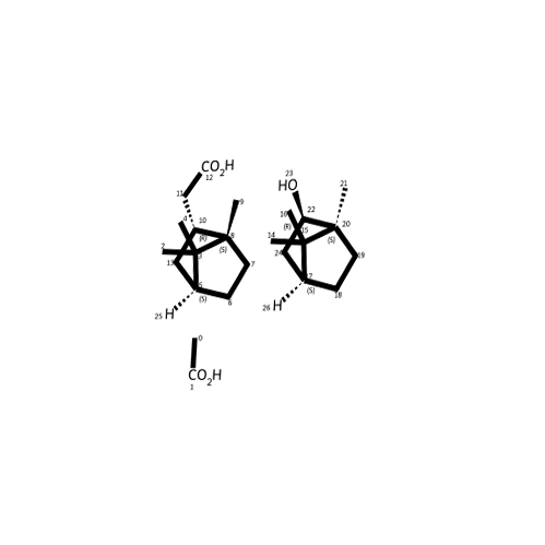 CC(=O)O.CC1(C)[C@H]2CC[C@@]1(C)[C@@H](CC(=O)O)C2.CC1(C)[C@H]2CC[C@]1(C)[C@H](O)C2